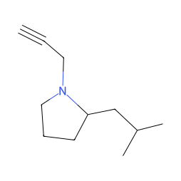 C#CCN1CCCC1CC(C)C